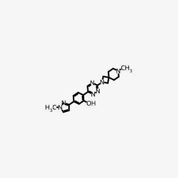 CN1CCC2(CC1)CN(c1ncc(-c3ccc(-c4ccn(C)n4)cc3O)nn1)C2